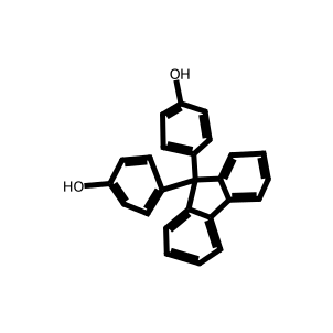 Oc1ccc(C2(c3ccc(O)cc3)c3ccccc3-c3ccccc32)cc1